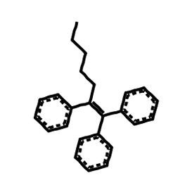 CCCCCC(=C(c1ccccc1)c1ccccc1)c1ccccc1